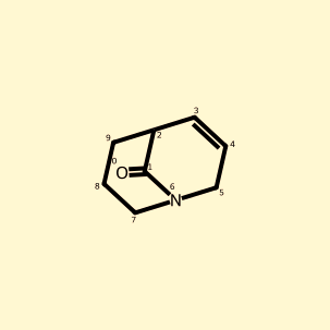 O=C1C2C=CCN1CCC2